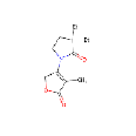 CCC1(CC)CCN(C2=C(C)C(=O)OC2)C1=O